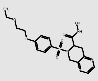 CCOCCOc1ccc(S(=O)(=O)N2Cc3nccnc3CC2C(=O)NO)cc1